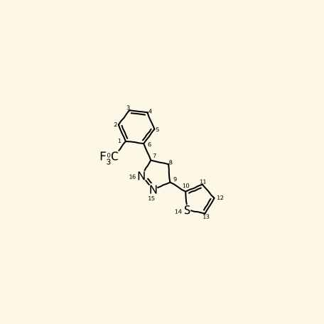 FC(F)(F)c1ccccc1C1CC(c2cccs2)N=N1